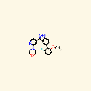 COc1cccc(F)c1-c1ccc2[nH]nc(-c3ccnc(N4CCOCC4)c3)c2c1